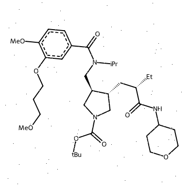 CC[C@@H](C[C@@H]1CN(C(=O)OC(C)(C)C)C[C@H]1CN(C(=O)c1ccc(OC)c(OCCCOC)c1)C(C)C)C(=O)NC1CCOCC1